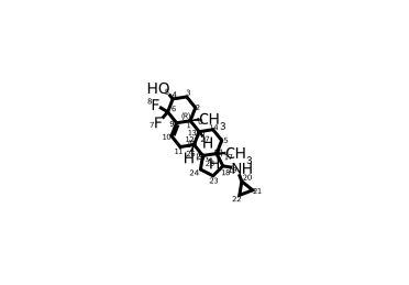 C[C@]12CCC(O)C(F)(F)C1=CC[C@@H]1[C@H]2CC[C@]2(C)C(NC3CC3)CC[C@@H]12